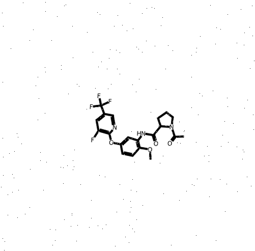 COc1ccc(Oc2ncc(C(F)(F)F)cc2F)cc1NC(=O)C1CCCN1C(C)=O